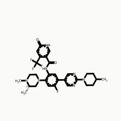 CC1CCN(c2ncc(-c3cc(NC(=O)c4c[nH]c(=O)cc4C(F)(F)F)c(N4CCN(C)[C@@H](C)C4)cc3F)cn2)CC1